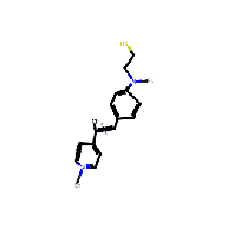 CCN(CCS)c1ccc(/C=C(\C)c2cc[n+](CC)cc2)cc1